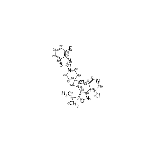 CC(C)c1onc(-c2c(Cl)cncc2Cl)c1C1=CC2(CCN(c3nc4c(F)cccc4s3)CC2)C1